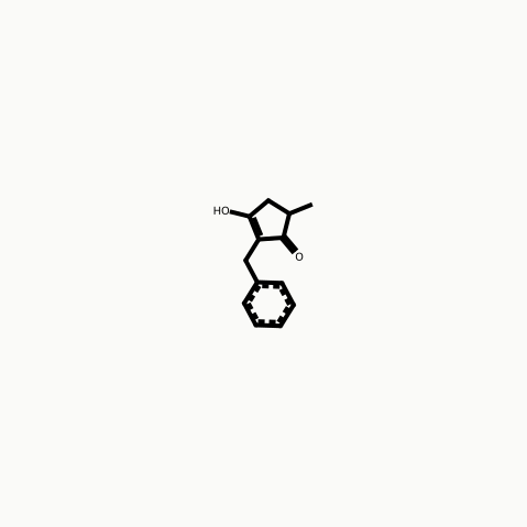 CC1CC(O)=C(Cc2ccccc2)C1=O